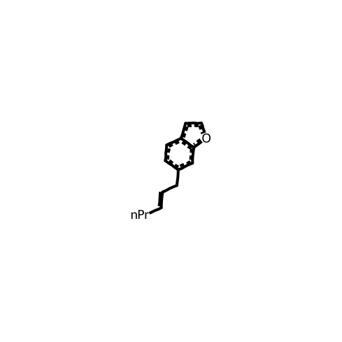 [CH2]CCC=CCc1ccc2ccoc2c1